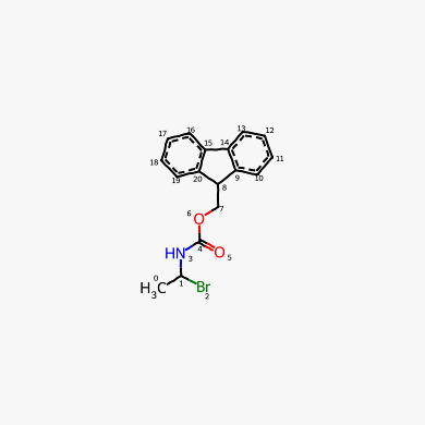 CC(Br)NC(=O)OCC1c2ccccc2-c2ccccc21